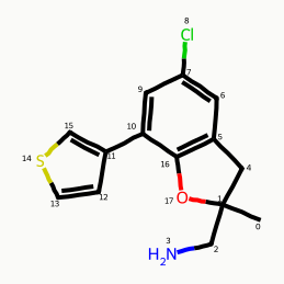 CC1(CN)Cc2cc(Cl)cc(-c3ccsc3)c2O1